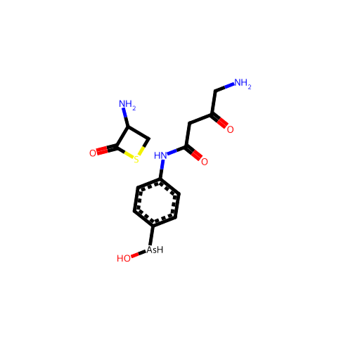 NC1CSC1=O.NCC(=O)CC(=O)Nc1ccc([AsH]O)cc1